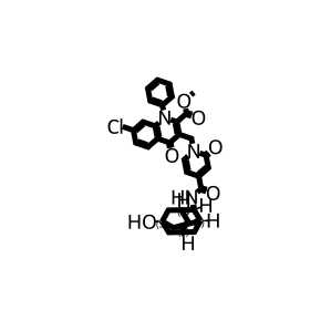 COC(=O)c1c(Cn2ccc(C(=O)N[C@@H]3[C@@H]4C[C@@H]5C[C@H]3C[C@@](O)(C5)C4)cc2=O)c(=O)c2ccc(Cl)cc2n1-c1ccccc1